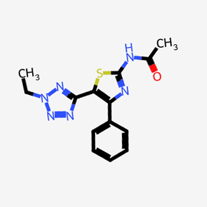 CCn1nnc(-c2sc(NC(C)=O)nc2-c2ccccc2)n1